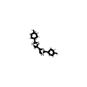 Cc1ccc(-c2ncc(-c3cnc(-c4ccc(C)cc4)s3)s2)cc1